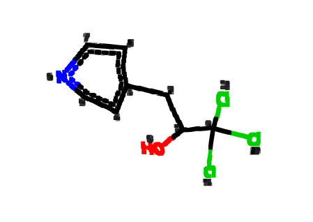 OC(Cc1ccncc1)C(Cl)(Cl)Cl